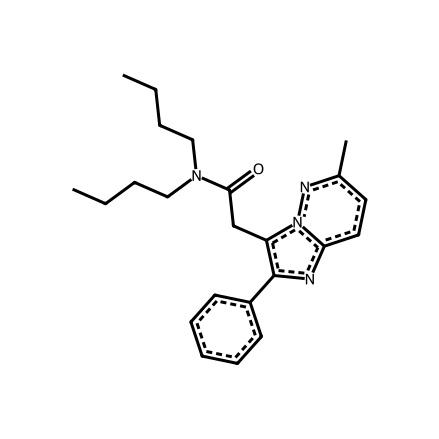 CCCCN(CCCC)C(=O)Cc1c(-c2ccccc2)nc2ccc(C)nn12